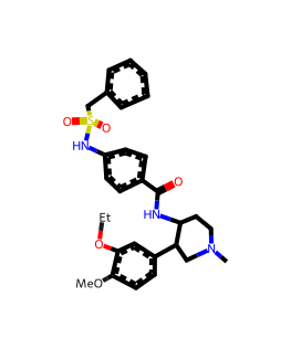 CCOc1cc(C2CN(C)CCC2NC(=O)c2ccc(NS(=O)(=O)Cc3ccccc3)cc2)ccc1OC